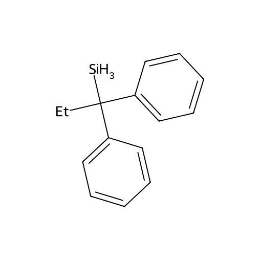 CCC([SiH3])(c1ccccc1)c1ccccc1